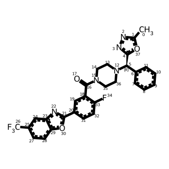 Cc1nnc([C@@H](c2ccccc2)N2CCN(C(=O)c3cc(-c4nc5cc(C(F)(F)F)ccc5o4)ccc3F)CC2)o1